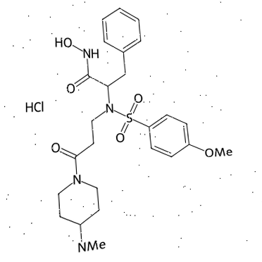 CNC1CCN(C(=O)CCN(C(Cc2ccccc2)C(=O)NO)S(=O)(=O)c2ccc(OC)cc2)CC1.Cl